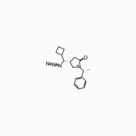 C[C@H](c1ccccc1)N1C[C@H](C(N=[N+]=[N-])C2CCC2)CC1=O